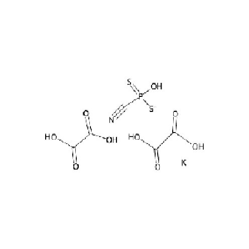 N#CP(O)(=S)[S-].O=C(O)C(=O)O.O=C(O)C(=O)O.[K+]